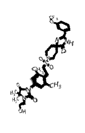 Cc1cc(N2C(=O)N(CCO)C(C)(C)C2=O)cc(C)c1C=CS(=O)(=O)N1CCC2(CC1)N=C(c1cccc(OC(F)(F)F)c1)NC2=O